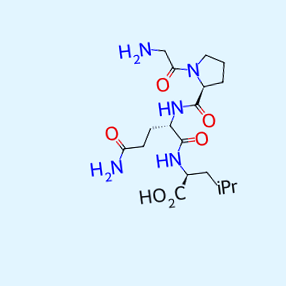 CC(C)C[C@H](NC(=O)[C@H](CCC(N)=O)NC(=O)[C@@H]1CCCN1C(=O)CN)C(=O)O